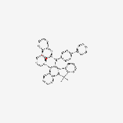 CC1(C)c2ccccc2-c2c(N(c3ccc(-c4ccccc4)cc3)c3ccc4ccccc4c3)c(-c3ccccc3)c3ccccc3c21